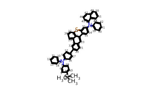 C[Si](C)(C)c1ccc(N(c2ccccc2)c2ccc(-c3ccc4cc5c6c(cccc6c4c3)Sc3cc(N(c4ccccc4)c4cccc6ccccc46)ccc3-5)cc2)cc1